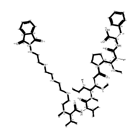 CC[C@H](C)[C@@H]([C@@H](CC(=O)N1CCC[C@H]1[C@H](OC)[C@@H](C)C(=O)N[C@@H](Cc1ccccc1)C(=O)O)OC)N(C)C(=O)[C@@H](NC(=O)C(C(C)C)N(C)CCOCCOCCOCCON1C(=O)c2ccccc2C1=O)C(C)C